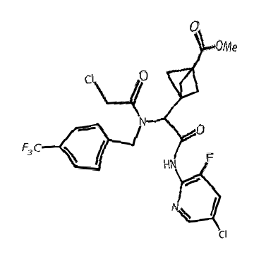 COC(=O)C12CC(C(C(=O)Nc3ncc(Cl)cc3F)N(Cc3ccc(C(F)(F)F)cc3)C(=O)CCl)(C1)C2